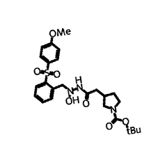 COc1ccc(S(=O)(=O)c2ccccc2CN(O)NC(=O)CC2CCN(C(=O)OC(C)(C)C)C2)cc1